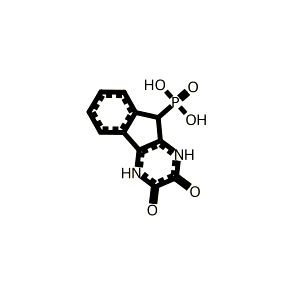 O=c1[nH]c2c([nH]c1=O)C(P(=O)(O)O)c1ccccc1-2